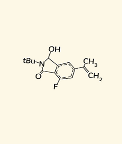 C=C(C)c1cc(F)c2c(c1)C(O)N(C(C)(C)C)C2=O